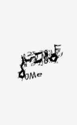 COc1cccc(Cc2csc(N3CCN(S(=O)(=O)c4cccc(F)c4)CC3)n2)c1